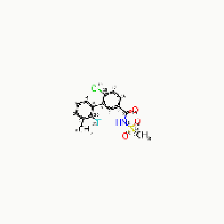 Cc1cccc(-c2cc(C(=O)NS(C)(=O)=O)ccc2Cl)c1F